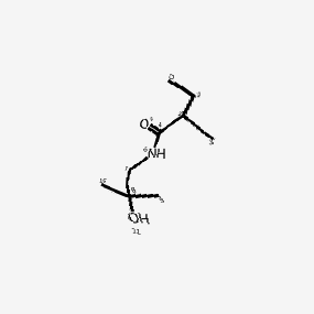 CCC(C)C(=O)NCC(C)(C)O